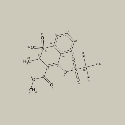 COC(=O)C1=C(OS(=O)(=O)C(F)(F)F)c2ccccc2S(=O)(=O)N1C